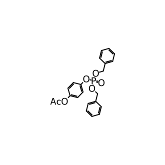 CC(=O)Oc1ccc(OP(=O)(OCc2ccccc2)OCc2ccccc2)cc1